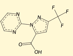 O=C(O)c1cc(C(F)(F)F)nn1-c1ncccn1